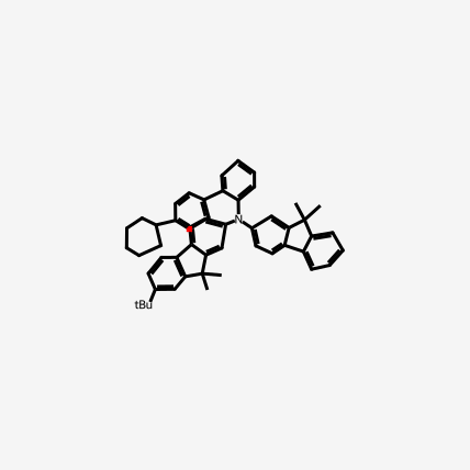 CC(C)(C)c1ccc2c(c1)C(C)(C)c1cc(N(c3ccc4c(c3)C(C)(C)c3ccccc3-4)c3ccccc3-c3ccc(C4CCCCC4)cc3)ccc1-2